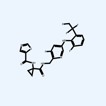 O=C(NC1(C(=O)NCc2ncc(Nc3c(F)cccc3C(F)(F)CF)cc2F)CC1)c1cncs1